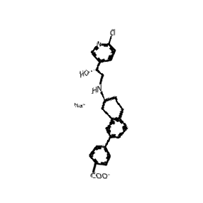 O=C([O-])c1ccc(-c2ccc3c(c2)C[C@@H](NC[C@H](O)c2ccc(Cl)nc2)CC3)cc1.[Na+]